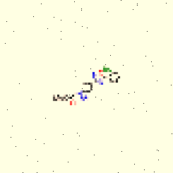 COC(=O)Cn1nnc2cc(-c3noc(-c4ccccc4Br)n3)ccc21